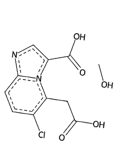 CO.O=C(O)Cc1c(Cl)ccc2ncc(C(=O)O)n12